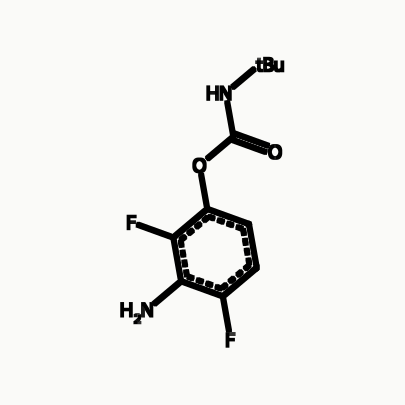 CC(C)(C)NC(=O)Oc1ccc(F)c(N)c1F